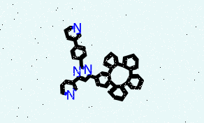 c1cncc(-c2ccc(-c3nc(-c4cccnc4)cc(-c4ccc5c6ccccc6c6ccccc6c6ccccc6c6ccccc6c5c4)n3)cc2)c1